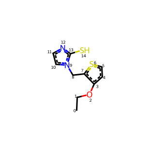 CCOc1ccsc1Cn1ccnc1S